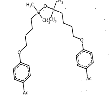 CC(=O)c1ccc(OCCCC[Si](C)(C)O[Si](C)(C)CCCCOc2ccc(C(C)=O)cc2)cc1